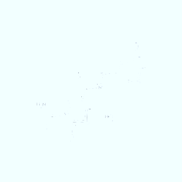 Cl.NC(=O)c1cc(C(=O)NCc2cccc(Cl)c2)ccc1Cl